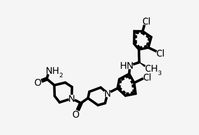 C[C@@H](Nc1cc(N2CCC(C(=O)N3CCC(C(N)=O)CC3)CC2)ccc1Cl)c1ccc(Cl)cc1Cl